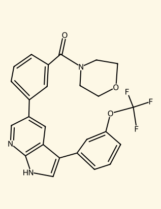 O=C(c1cccc(-c2cnc3[nH]cc(-c4cccc(OC(F)(F)F)c4)c3c2)c1)N1CCOCC1